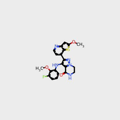 COc1cc2nccc(-c3nn4c(c3Nc3cccc(F)c3OC)C(=O)NCC4)c2s1